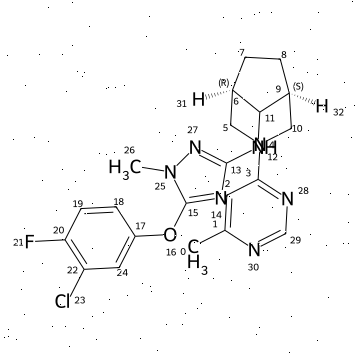 Cc1cc(N2C[C@H]3CC[C@@H](C2)C3Nc2nc(Oc3ccc(F)c(Cl)c3)n(C)n2)ncn1